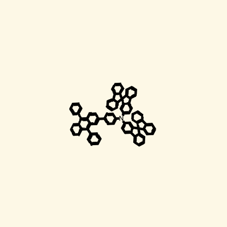 C1=CC2=C(CC1)C1(c3ccccc32)c2ccccc2-c2ccc(N(c3ccc(-c4ccc5c(-c6ccccc6)c6ccccc6c(-c6ccccc6)c5c4)cc3)c3ccc4c(c3)C3(c5ccccc5-c5ccccc53)c3ccccc3-4)cc21